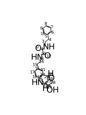 O=C(NCCc1ccccc1)C(=O)NCCc1ccc2c(c1)[C@H]1C[C@@H](N2)[C@H](O)CO1